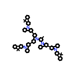 Cc1cc(-n2c3ccccc3c3cc(-c4ccc5c(c4)c4ccccc4n5-c4ccc5c(c4)C(C)(C)c4ccccc4-5)ccc32)cc(-n2c3ccc(-c4ccc5c(c4)c4ccccc4n5-c4ccc5c(c4)C(C)(C)c4ccccc4-5)cc3c3cc(-c4ccc5c(c4)c4ccccc4n5-c4ccc5c(c4)C(C)(C)c4ccccc4-5)ccc32)c1